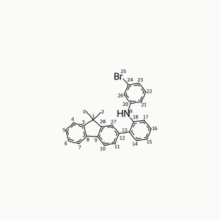 CC1(C)c2ccccc2-c2ccc(-c3ccccc3Nc3cccc(Br)c3)cc21